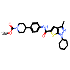 Cc1nn(C2CCCCC2)c2sc(C(=O)Nc3ccc(C4CCN(C(=O)OC(C)(C)C)CC4)cc3)cc12